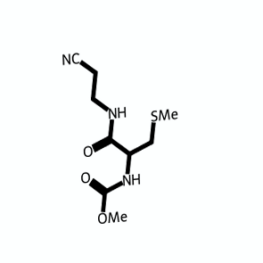 COC(=O)NC(CSC)C(=O)NCCC#N